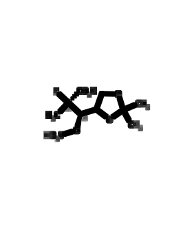 CC1(C)OCC([C@@H](OS(=O)(=O)O)[C@@](C)(F)C(=O)O)O1